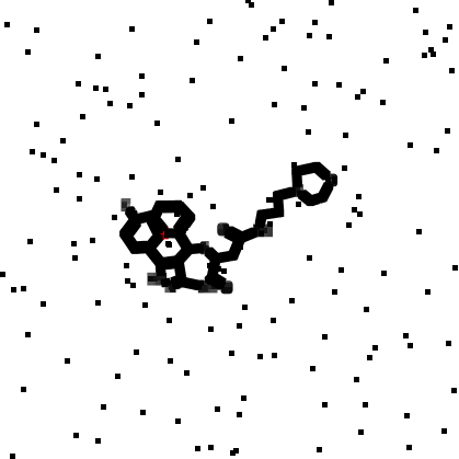 O=C(CC1SC(c2ccccc2)c2c(n[nH]c2-c2ccc(F)cc2)NC1=O)NCCCN1CCOCC1